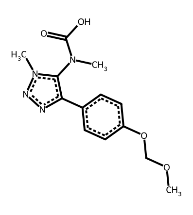 COCOc1ccc(-c2nnn(C)c2N(C)C(=O)O)cc1